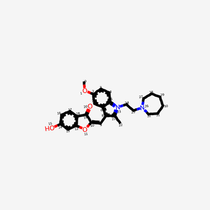 COc1ccc2c(c1)c(C=C1Oc3cc(O)ccc3C1=O)c(C)n2CCN1CCCCCC1